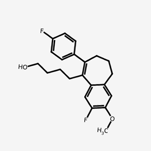 COc1cc2c(cc1F)C(CCCCO)=C(c1ccc(F)cc1)CCC2